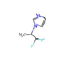 CC(C(F)F)n1ccnc1